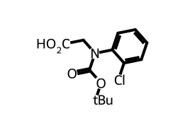 CC(C)(C)OC(=O)N(CC(=O)O)c1ccccc1Cl